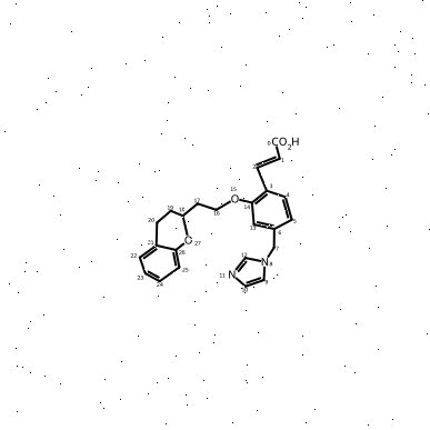 O=C(O)C=Cc1ccc(Cn2ccnc2)cc1OCCC1CCc2ccccc2O1